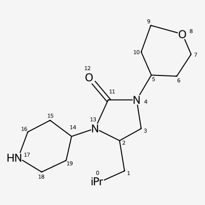 CC(C)CC1CN(C2CCOCC2)C(=O)N1C1CCNCC1